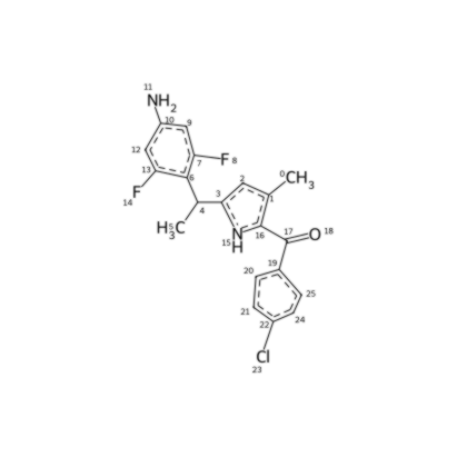 Cc1cc(C(C)c2c(F)cc(N)cc2F)[nH]c1C(=O)c1ccc(Cl)cc1